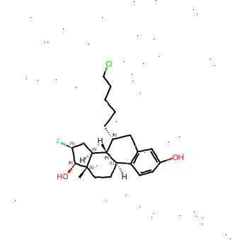 C[C@]12CC[C@@H]3c4ccc(O)cc4C[C@@H](CCCCCCl)[C@H]3[C@@H]1C[C@H](F)[C@@H]2O